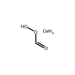 O=COO.[GeH4]